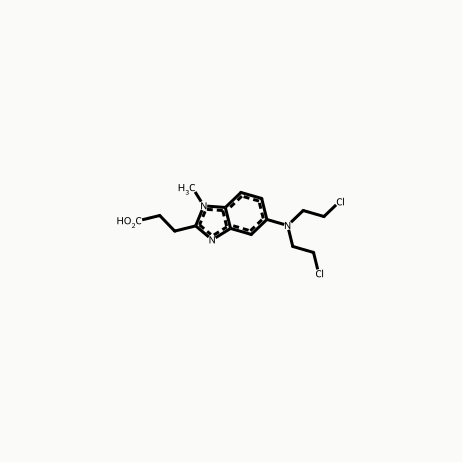 Cn1c(CCC(=O)O)nc2cc(N(CCCl)CCCl)ccc21